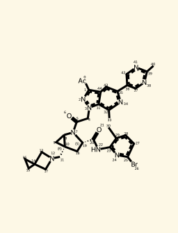 CC(=O)c1nn(CC(=O)N2C3C[C@]3(CN3CC4(CC4)C3)C[C@H]2C(=O)Nc2nc(Br)ccc2C)c2c(C)nc(-c3cnc(C)nc3)cc12